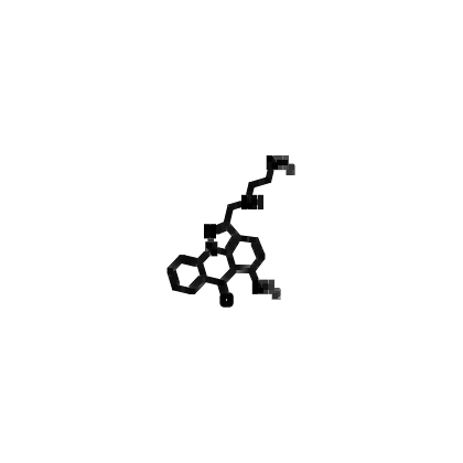 NCCNCc1nn2c3ccccc3c(=O)c3c(N)ccc1c32